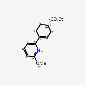 CCOC(=O)[C@@H]1CC=C(c2cccc(OC)n2)CC1